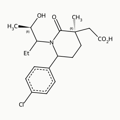 CCC([C@@H](C)O)N1C(=O)[C@@](C)(CC(=O)O)CCC1c1ccc(Cl)cc1